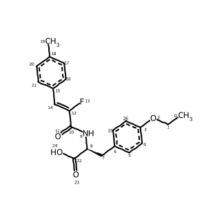 CCOc1ccc(C[C@H](NC(=O)C(F)=Cc2ccc(C)cc2)C(=O)O)cc1